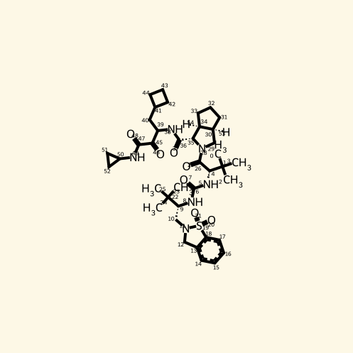 CC(C)(C)[C@H](NC(=O)N[C@H](CN1Cc2ccccc2S1(=O)=O)C(C)(C)C)C(=O)N1C[C@@H]2CCC[C@@H]2[C@H]1C(=O)NC(CC1CCC1)C(=O)C(=O)NC1CC1